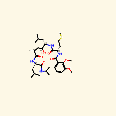 COc1cccc(C(=O)N[C@@H](CCSC)C(=O)N[C@@H](CC(C)C)[C@@H](O)C[C@@H](C)C(=O)N[C@@H](CC(C)C)C(=O)NC(C)C)c1OC